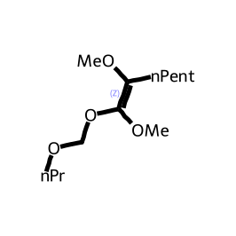 CCCCC/C(OC)=C(\OC)OCOCCC